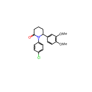 COc1ccc(C2CCCC(=O)N2c2ccc(Cl)cc2)cc1OC